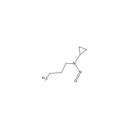 CCCCN(N=O)C1CC1